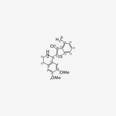 COc1cc2c(cc1OC)C(c1sc3cccc(C)c3c1Cl)NCC2